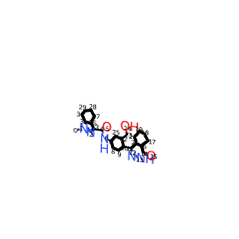 Cn1nc(C(=O)Nc2ccc(-c3n[nH]c(=O)c4ccccc34)c(CO)c2)c2ccccc21